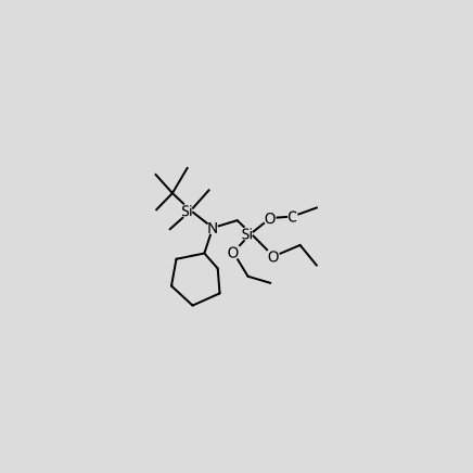 CCO[Si](CN(C1CCCCC1)[Si](C)(C)C(C)(C)C)(OCC)OCC